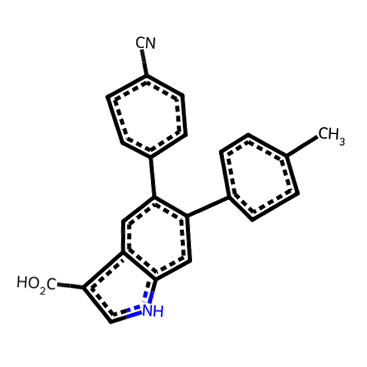 Cc1ccc(-c2cc3[nH]cc(C(=O)O)c3cc2-c2ccc(C#N)cc2)cc1